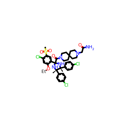 CCOc1cc(Cl)c(S(C)(=O)=O)cc1C1(C(=O)N2CCC3(CCN(CC(N)=O)CC3)CC2)N[C@@](C)(c2ccc(Cl)cc2)[C@@](C)(c2ccc(Cl)cc2)N1